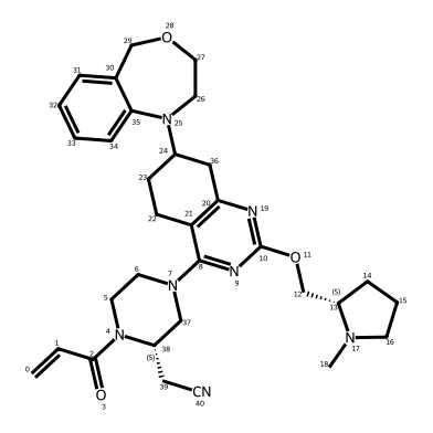 C=CC(=O)N1CCN(c2nc(OC[C@@H]3CCCN3C)nc3c2CCC(N2CCOCc4ccccc42)C3)C[C@@H]1CC#N